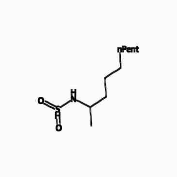 CCCCCCCCC(C)N[SH](=O)=O